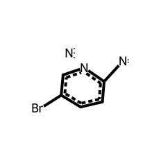 [N].[N]c1ccc(Br)cn1